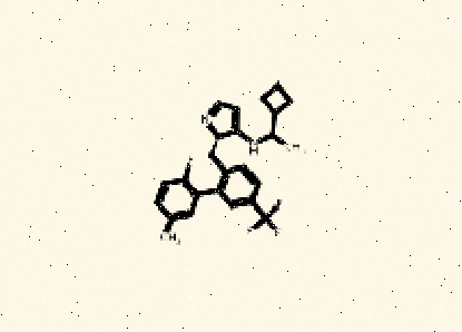 Cc1ccc(F)c(-c2cc(C(F)(F)F)ccc2C[C@H]2N=CC=C2NC(C)C2CCC2)c1